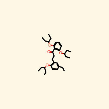 CCc1ccc(OC(CC)CC)c(CCC(=O)c2c(OC(CC)CC)cccc2OC(CC)CC)c1